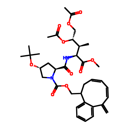 C=C1/C=C\C=C/CC(COC(=O)N2C[C@H](OC(C)(C)C)C[C@H]2C(=O)N[C@H](C(=O)OC)[C@H](C)[C@@H](COC(C)=O)OC(C)=O)c2ccccc21